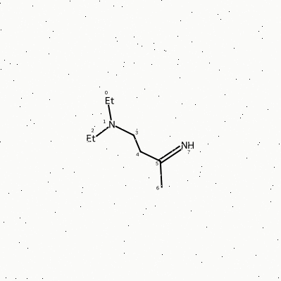 CCN(CC)CCC(C)=N